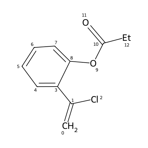 C=C(Cl)c1ccccc1OC(=O)CC